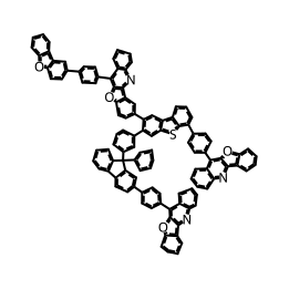 c1ccc(C2(c3cccc(-c4cc5sc6c(-c7ccc(-c8c9ccccc9nc9c8oc8ccccc89)cc7)cccc6c5cc4-c4ccc5oc6c(-c7ccc(-c8ccc9oc%10ccccc%10c9c8)cc7)c7ccccc7nc6c5c4)c3)c3ccccc3-c3ccc(-c4ccc(-c5c6ccccc6nc6c5oc5ccccc56)cc4)cc32)cc1